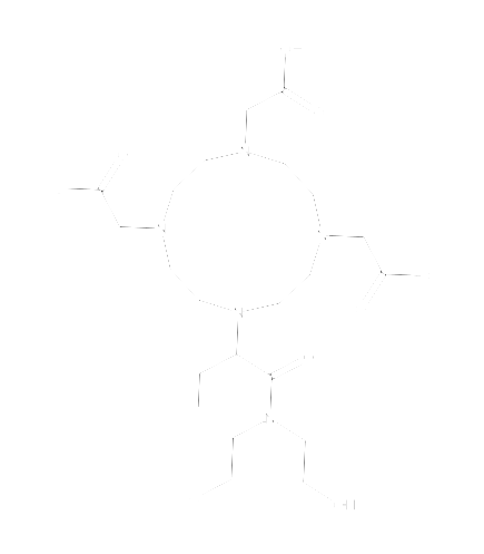 O=C(O)CN1CCN(CC(=O)O)CCN(C(CO)C(=O)N(CCO)CCO)CCN(CC(=O)O)CC1